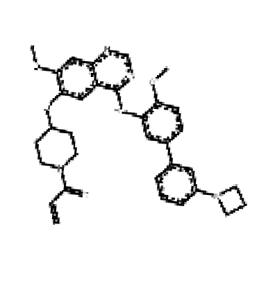 C=CC(=O)N1CCC(Oc2cc3c(Nc4cc(-c5cccc(N6CCC6)c5)ccc4OC)ncnc3cc2OC)CC1